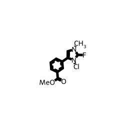 COC(=O)c1cccc(C2=CN(C)C(F)N2Cl)c1